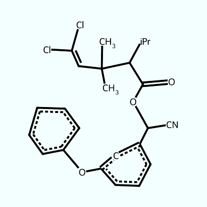 CC(C)C(C(=O)OC(C#N)c1cccc(Oc2ccccc2)c1)C(C)(C)C=C(Cl)Cl